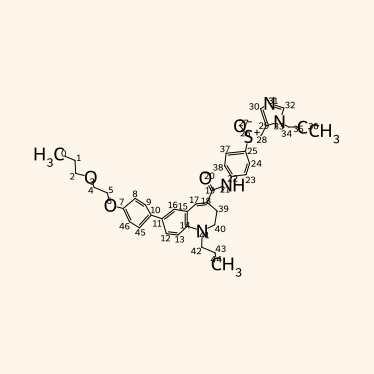 CCCOCCOc1ccc(-c2ccc3c(c2)C=C(C(=O)Nc2ccc([S+]([O-])Cc4cncn4CCC)cc2)CCN3CCC)cc1